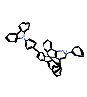 C1=C(c2ccccc2)C2=C(NC1c1ccccc1)c1ccccc1C21c2ccccc2-c2ccc(-c3ccc(-n4c5ccccc5c5ccccc54)cc3)cc21